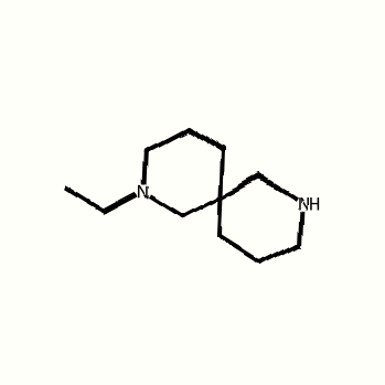 CCN1CCCC2(CCCNC2)C1